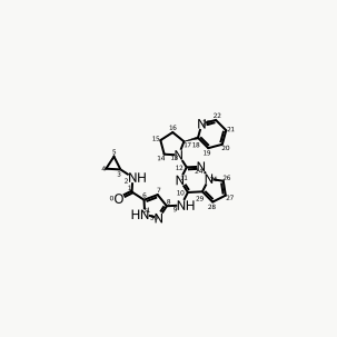 O=C(NC1CC1)c1cc(Nc2nc(N3CCC[C@H]3c3ccccn3)nn3cccc23)n[nH]1